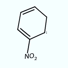 O=[N+]([O-])C1=CC=CC[C]1